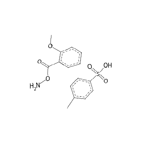 COc1ccccc1C(=O)ON.Cc1ccc(S(=O)(=O)O)cc1